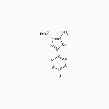 CCOC(=O)c1cc(-c2ccc(C)cc2)sc1N